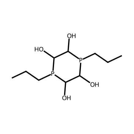 CCCP1C(O)C(O)P(CCC)C(O)C1O